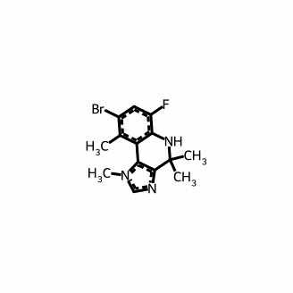 Cc1c(Br)cc(F)c2c1-c1c(ncn1C)C(C)(C)N2